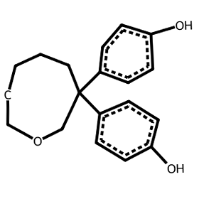 Oc1ccc(C2(c3ccc(O)cc3)CCCCCOC2)cc1